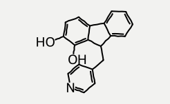 Oc1ccc2c(c1O)C(Cc1ccncc1)c1ccccc1-2